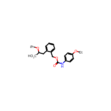 CCOc1ccc(NC(=O)OCc2ccccc2CC(OC(C)C)C(=O)O)cc1